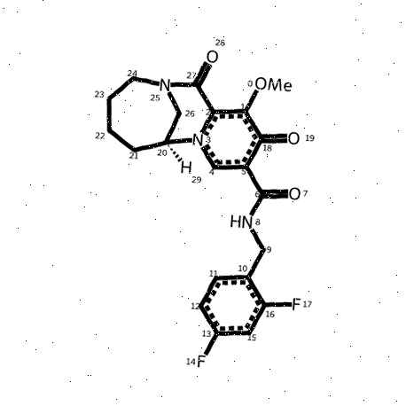 COc1c2n(cc(C(=O)NCc3ccc(F)cc3F)c1=O)[C@H]1CCCCN(C1)C2=O